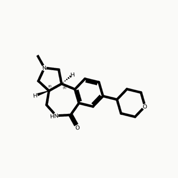 CN1C[C@H]2CNC(=O)c3cc(C4CCOCC4)ccc3[C@@H]2C1